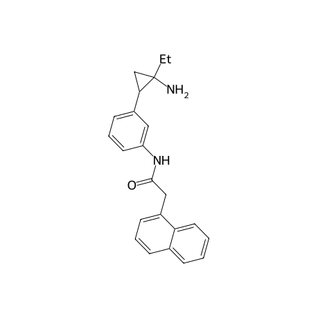 CCC1(N)CC1c1cccc(NC(=O)Cc2cccc3ccccc23)c1